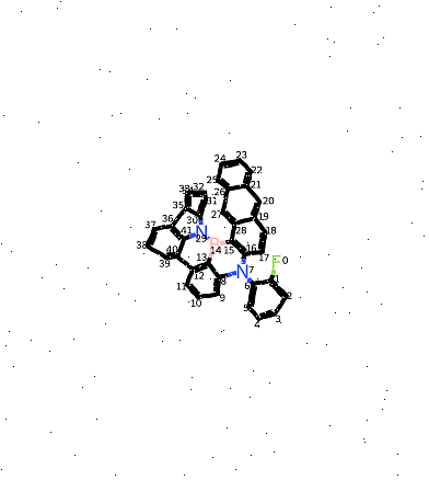 Fc1ccccc1N1c2cccc3c2B(c2c1ccc1cc4ccccc4cc21)n1c2ccccc2c2cccc-3c21